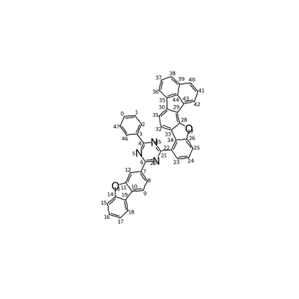 c1ccc(-c2nc(-c3ccc4c(c3)oc3ccccc34)nc(-c3cccc4oc5c6c(ccc5c34)-c3cccc4cccc-6c34)n2)cc1